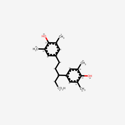 Cc1cc(CCC(CC(=O)O)c2cc(C)c(O)c(C)c2)cc(C)c1O